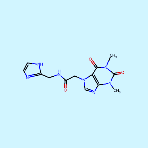 Cn1c(=O)c2c(ncn2CC(=O)NCc2ncc[nH]2)n(C)c1=O